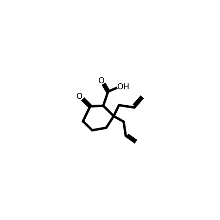 C=CCC1(CC=C)CCCC(=O)C1C(=O)O